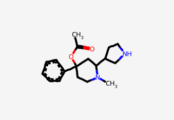 CC(=O)OC1(c2ccccc2)CCN(C)C(C2CCNC2)C1